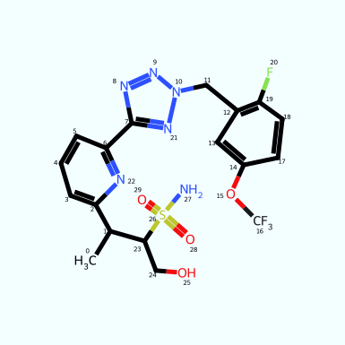 CC(c1cccc(-c2nnn(Cc3cc(OC(F)(F)F)ccc3F)n2)n1)C(CO)S(N)(=O)=O